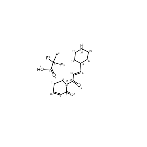 O=C(O)C(F)(F)F.O=C1C=CCCN1C(=O)C=CC1CCNCC1